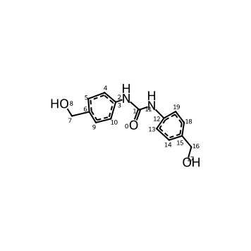 O=C(Nc1ccc(CO)cc1)Nc1ccc(CO)cc1